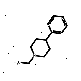 CCN1CCC(c2cc[c]cc2)CC1